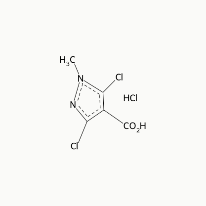 Cl.Cn1nc(Cl)c(C(=O)O)c1Cl